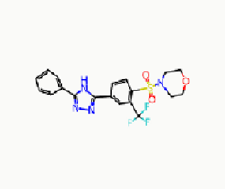 O=S(=O)(c1ccc(-c2nnc(-c3ccccc3)[nH]2)cc1C(F)(F)F)N1CCOCC1